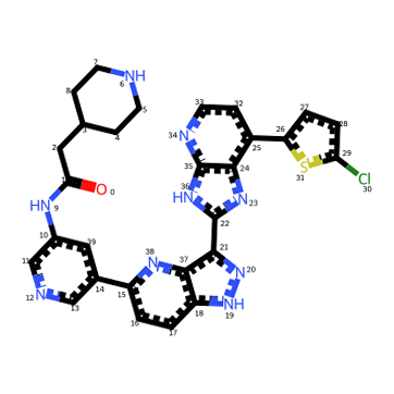 O=C(CC1CCNCC1)Nc1cncc(-c2ccc3[nH]nc(-c4nc5c(-c6ccc(Cl)s6)ccnc5[nH]4)c3n2)c1